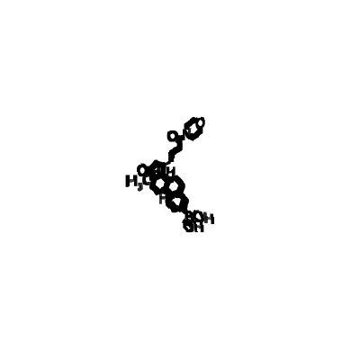 C[C@]12CC[C@@H]3c4ccc(B(O)O)cc4CC[C@H]3[C@@H]1[C@@H](CCCC(=O)N1CCOCC1)CC2=O